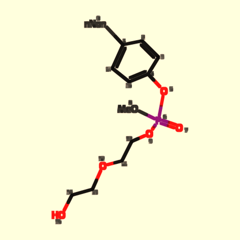 CCCCCCCCCc1ccc(OP(=O)(OC)OCCOCCO)cc1